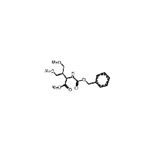 COCC(COC)C(NC(=O)OCc1ccccc1)C(=O)OC